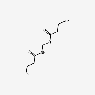 CCC(C)CCC(=O)NCNC(=O)CCC(C)C